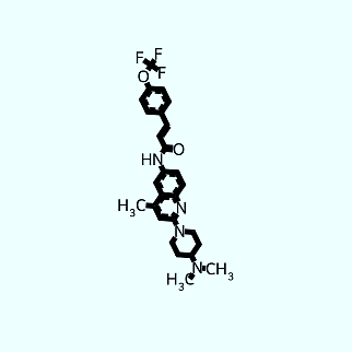 Cc1cc(N2CCC(N(C)C)CC2)nc2ccc(NC(=O)C=Cc3ccc(OC(F)(F)F)cc3)cc12